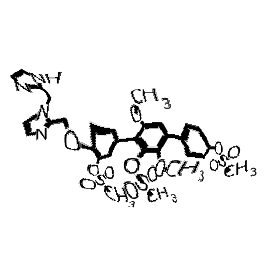 COc1cc(-c2ccc(OS(C)(=O)=O)cc2)c(OC)c(OS(C)(=O)=O)c1-c1ccc(OCc2nccn2Cc2ncc[nH]2)c(OS(C)(=O)=O)c1